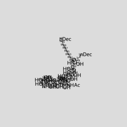 CCCCCCCCCCCCC/C=C/[C@@H](O)[C@H](CO[C@@H]1OC(CO)[C@@H](O[C@@H]2OC(CO)[C@H](O)[C@H](O[C@@H]3OC(CO)[C@@H](O[C@@H]4OC(CO)[C@H](O)[C@H](O[C@H]5OC(CO)[C@H](O)[C@H](O[C@@H]6OC(CO)[C@H](O)[C@H](O)C6NC(C)=O)C5O)C4O)[C@H](O)C3NC(C)=O)C2O)[C@H](O)C1O)NC(=O)CCCCCCCCCCCCCCCCCCCCCCC